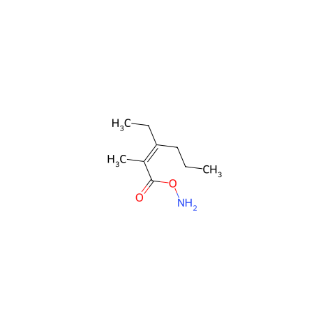 CCCC(CC)=C(C)C(=O)ON